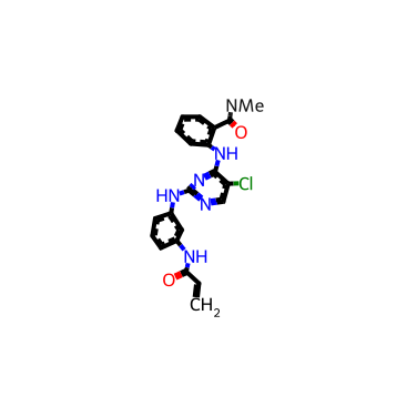 C=CC(=O)Nc1cccc(Nc2ncc(Cl)c(Nc3ccccc3C(=O)NC)n2)c1